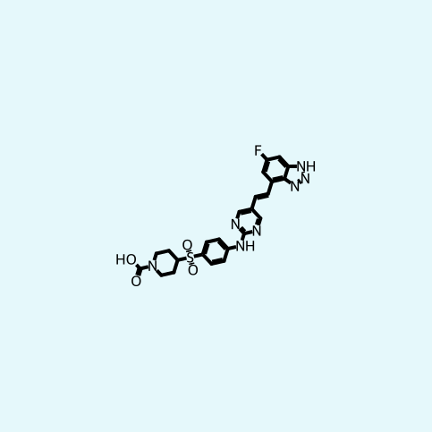 O=C(O)N1CCC(S(=O)(=O)c2ccc(Nc3ncc(C=Cc4cc(F)cc5[nH]nnc45)cn3)cc2)CC1